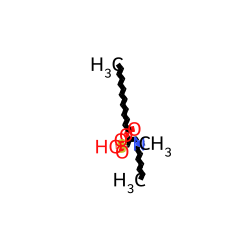 CCCCCCCCCCCCCC(=O)OC(CN(C)CCCCCCC)CS(=O)(=O)O